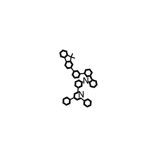 CC1(C)c2ccccc2-c2ccc(-c3cccc(-c4cccc5c6ccccc6n(-c6cccc(-c7cc(-c8ccccc8)cc(-c8ccccc8)n7)c6)c45)c3)cc21